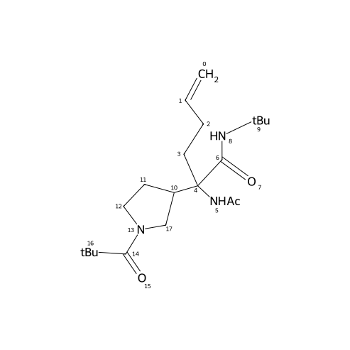 C=CCCC(NC(C)=O)(C(=O)NC(C)(C)C)C1CCN(C(=O)C(C)(C)C)C1